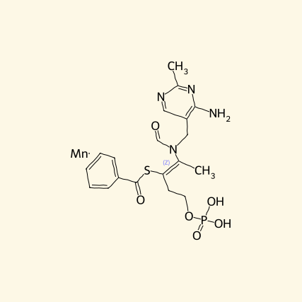 C/C(=C(\CCOP(=O)(O)O)SC(=O)c1ccccc1)N(C=O)Cc1cnc(C)nc1N.[Mn]